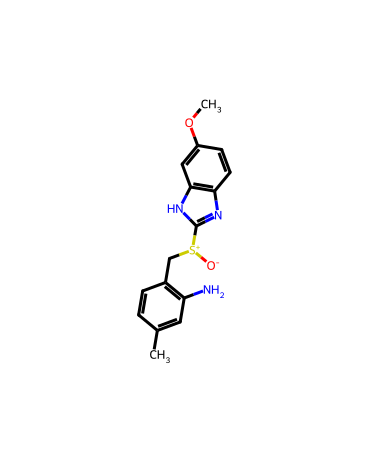 COc1ccc2nc([S+]([O-])Cc3ccc(C)cc3N)[nH]c2c1